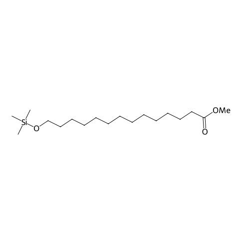 COC(=O)CCCCCCCCCCCCCO[Si](C)(C)C